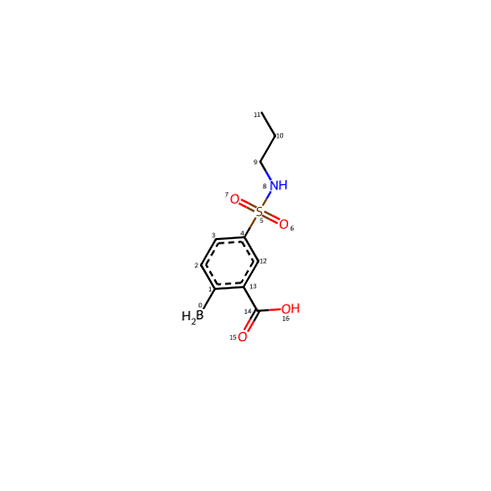 Bc1ccc(S(=O)(=O)NCCC)cc1C(=O)O